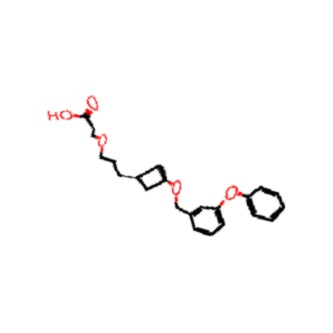 O=C(O)COCCC[C@H]1C[C@@H](OCc2cccc(Oc3ccccc3)c2)C1